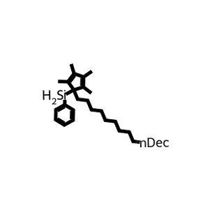 CCCCCCCCCCCCCCCCCCCC1([SiH2]c2ccccc2)C(C)=C(C)C(C)=C1C